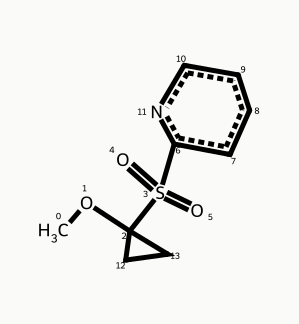 COC1(S(=O)(=O)c2ccccn2)CC1